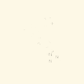 Fc1ccc(-c2cc(C(F)(F)F)ccc2C2CCOc3cc(SNc4ncccn4)ccc32)cc1